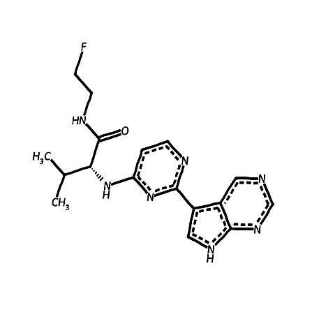 CC(C)[C@@H](Nc1ccnc(-c2c[nH]c3ncncc23)n1)C(=O)NCCF